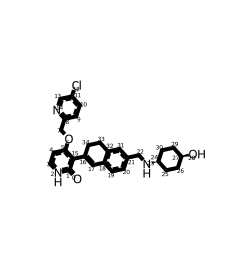 O=c1[nH]ccc(OCc2ccc(Cl)cn2)c1C1=Cc2ccc(CN[C@H]3CC[C@H](O)CC3)cc2CC1